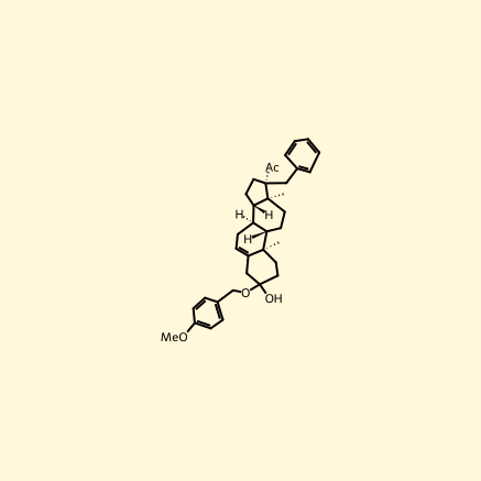 COc1ccc(COC2(O)CC[C@@]3(C)C(=CC[C@@H]4[C@@H]3CC[C@@]3(C)[C@H]4CC[C@]3(Cc3ccccc3)C(C)=O)C2)cc1